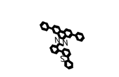 c1ccc(-c2ccc3c4ccc(-c5ccccc5)cc4c4nc(-c5ccccc5-c5cccc6c5sc5ccccc56)cnc4c3c2)cc1